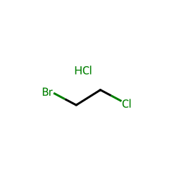 Cl.ClCCBr